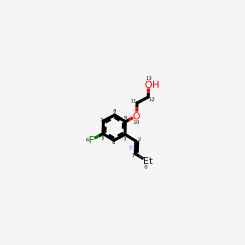 CC/C=C/c1cc(F)ccc1OCCO